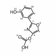 O=C(O)Oc1coc(-c2cccc(O)c2)n1